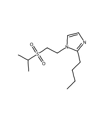 CCCCc1nccn1CCS(=O)(=O)C(C)C